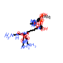 COP(=O)(O)OC[C@H]1C[C@@H](n2cnc3c(C)ncnc32)C[C@@H]1OP(=O)(O)OC[C@@H]1C[C@@H](O)CN1C(=O)CCCCCCCCC(=O)NC(COCCC(=O)NCCCN)(COCCC(=O)NCCCN)COCCC(=O)NCCCN